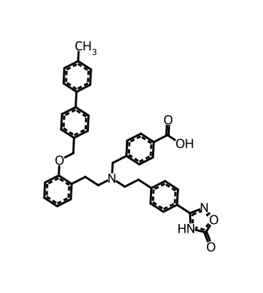 Cc1ccc(-c2ccc(COc3ccccc3CCN(CCc3ccc(-c4noc(=O)[nH]4)cc3)Cc3ccc(C(=O)O)cc3)cc2)cc1